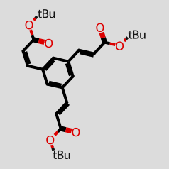 CC(C)(C)OC(=O)C=Cc1cc(/C=C\C(=O)OC(C)(C)C)cc(/C=C/C(=O)OC(C)(C)C)c1